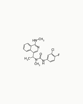 CNc1ncc(C(C)N(C)C(=O)Nc2ccc(F)c(Cl)c2)c2ccccc12